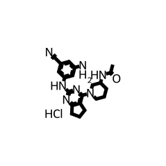 CC(=O)NC1CCCN(c2nc(Nc3cc(N)cc(C#N)c3)nc3c2CCC3)C1.Cl